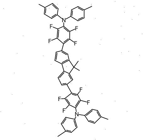 Cc1ccc(N(c2ccc(C)cc2)c2c(F)c(F)c(-c3ccc4c(c3)C(C)(C)c3cc(-c5c(F)c(F)c(N(c6ccc(C)cc6)c6ccc(C)cc6)c(F)c5F)ccc3-4)c(F)c2F)cc1